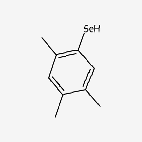 Cc1cc(C)c([SeH])cc1C